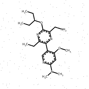 CCc1nc(OC(CC)CC)c(CN)nc1-c1cnc(N(C)C)cc1OC